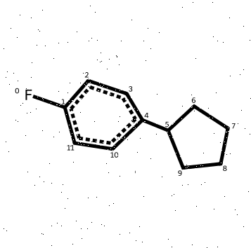 Fc1ccc(C2CCCC2)cc1